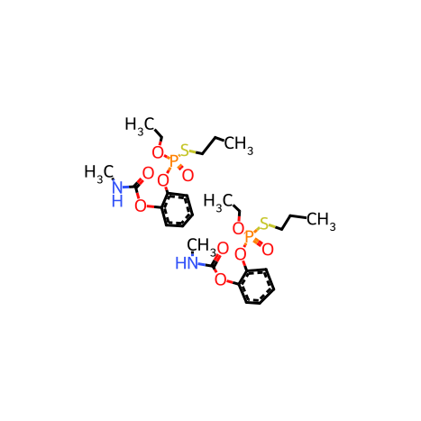 CCCSP(=O)(OCC)Oc1ccccc1OC(=O)NC.CCCSP(=O)(OCC)Oc1ccccc1OC(=O)NC